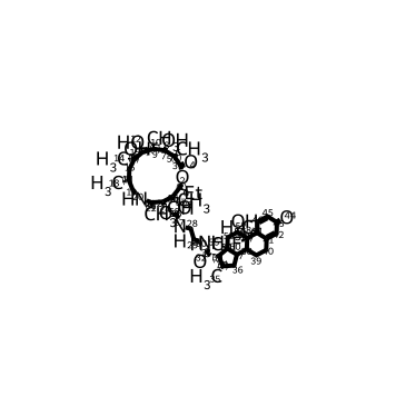 CC[C@H]1OC(=O)[C@H](C)C(O)[C@H](C)[C@@H](O)[C@](C)(O)C[C@@H](C)CN[C@H](C)C(OC(=O)NCCNC(=O)[C@H]2[C@H](C)CC3C4CCC5=CC(=O)C=C[C@]5(C)[C@@]4(F)[C@@H](O)C[C@@]32C)[C@]1(C)O